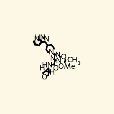 COC[C@@H](C)Oc1nc(C(=O)NC2[C@H]3COC[C@@H]23)nc(N2CCC(c3n[nH]c4ncccc34)CC2)n1